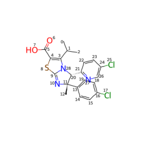 CC(C)C1=C(C(=O)O)SC2=N[C@@](C)(c3ccc(Cl)cc3)[C@@H](c3ccc(Cl)cn3)N21